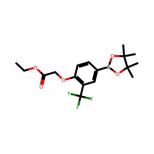 CCOC(=O)COc1ccc(B2OC(C)(C)C(C)(C)O2)cc1C(F)(F)F